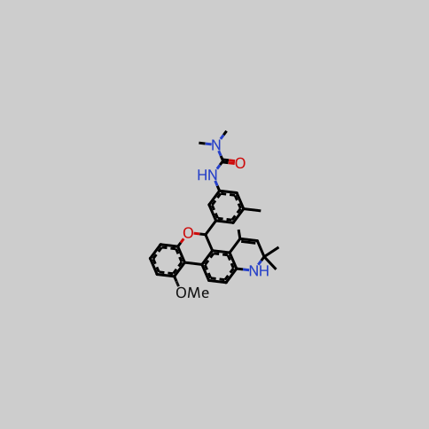 COc1cccc2c1-c1ccc3c(c1C(c1cc(C)cc(NC(=O)N(C)C)c1)O2)C(C)=CC(C)(C)N3